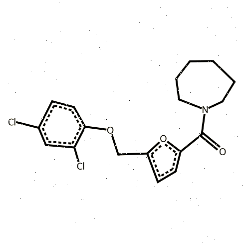 O=C(c1ccc(COc2ccc(Cl)cc2Cl)o1)N1CCCCCC1